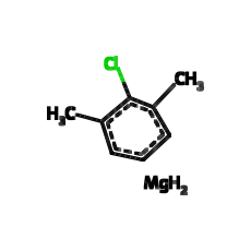 Cc1cccc(C)c1Cl.[MgH2]